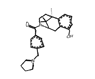 CC1(C)C2Cc3c(O)cccc3[C@]1(C)CCN2C(=O)c1ccc(CN2CCCC2)cc1